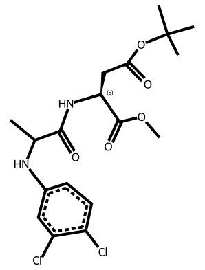 COC(=O)[C@H](CC(=O)OC(C)(C)C)NC(=O)C(C)Nc1ccc(Cl)c(Cl)c1